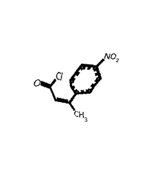 C/C(=C/C(=O)Cl)c1ccc([N+](=O)[O-])cc1